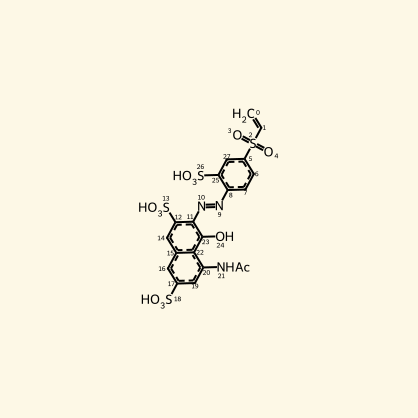 C=CS(=O)(=O)c1ccc(/N=N/c2c(S(=O)(=O)O)cc3cc(S(=O)(=O)O)cc(NC(C)=O)c3c2O)c(S(=O)(=O)O)c1